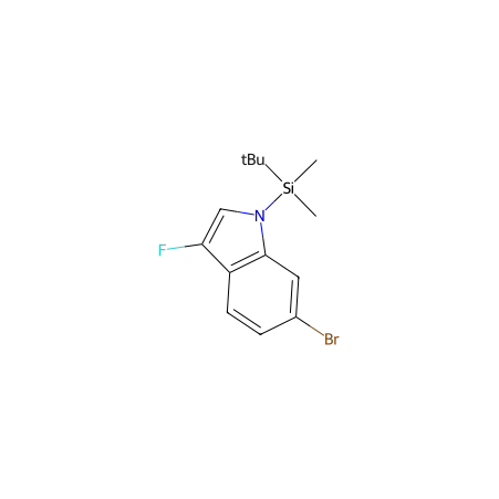 CC(C)(C)[Si](C)(C)n1cc(F)c2ccc(Br)cc21